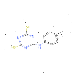 Cc1ccc(Nc2nc(S)nc(S)n2)cc1